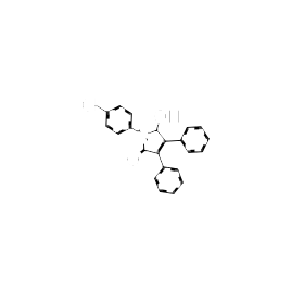 O=C1C(c2ccccc2)=C(c2ccccc2)C(O)N1c1ccc(Cl)cc1